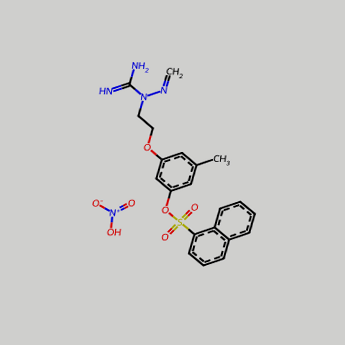 C=NN(CCOc1cc(C)cc(OS(=O)(=O)c2cccc3ccccc23)c1)C(=N)N.O=[N+]([O-])O